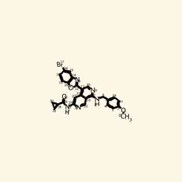 COc1ccc(CNc2ncc(-c3nc4cc(Br)ccc4o3)c3cc(NC(=O)C4CC4)ncc23)cc1